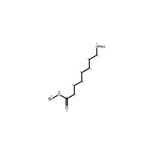 CCCCCCCCCCCCCC(=O)OBr